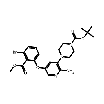 COC(=O)c1c(Br)cccc1Oc1cnc(N)c(N2CCN(C(=O)OC(C)(C)C)CC2)c1